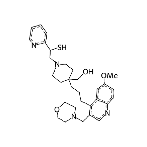 COc1ccc2ncc(CN3CCOCC3)c(CCCC3(CO)CCN(CC(S)c4ccccn4)CC3)c2c1